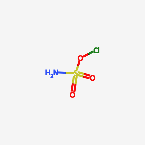 NS(=O)(=O)OCl